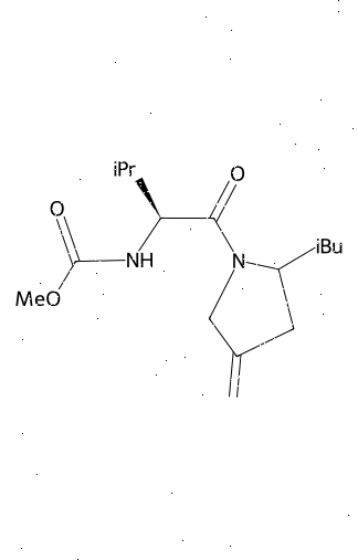 C=C1CC(C(C)CC)N(C(=O)[C@@H](NC(=O)OC)C(C)C)C1